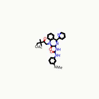 CNc1cccc(NC(=O)NC2N=C(c3ccccn3)c3ccccc3N(CC(=O)C(C)(C)COC(C)=O)C2=O)c1